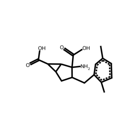 Cc1ccc(C)c(CC2CC3C(C(=O)O)C3C2(N)C(=O)O)c1